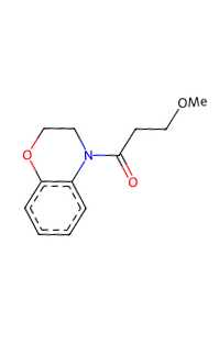 COCCC(=O)N1CCOc2ccccc21